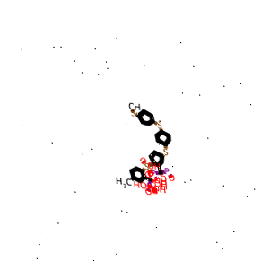 CSc1ccc(Sc2ccc(Sc3ccc(S(=O)(=O)c4ccc(C)cc4C(O)(P=O)P(=O)(O)O)c(C(O)(P=O)P(=O)(O)O)c3)cc2)cc1